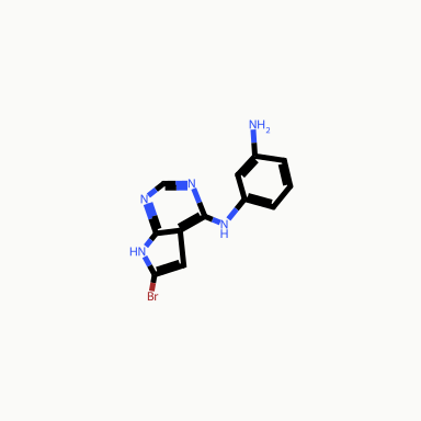 Nc1cccc(Nc2ncnc3[nH]c(Br)cc23)c1